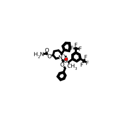 C[C@@H](OC[C@@]1(c2ccccc2)CCC(OC(N)=O)CN1C(=O)OCc1ccccc1)c1cc(C(F)(F)F)cc(C(F)(F)F)c1